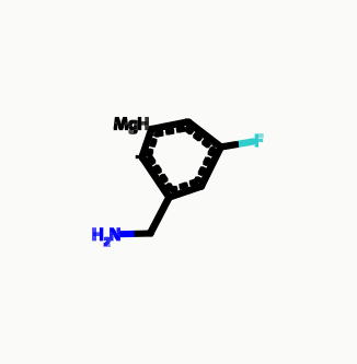 NCc1[c]ccc(F)c1.[MgH2]